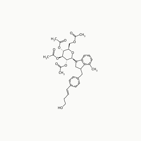 CC(=O)OC[C@H]1O[C@@H](N2CC(Cc3ccc(/C=C/CCO)cc3)c3c(C)cccc32)[C@H](OC(C)=O)[C@@H](OC(C)=O)[C@@H]1OC(C)=O